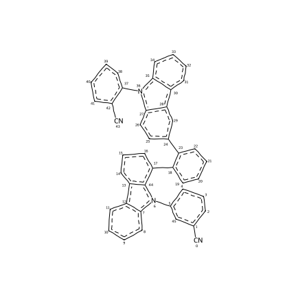 N#Cc1cccc(-n2c3ccccc3c3cccc(-c4ccccc4-c4ccc5c(c4)c4ccccc4n5-c4ccccc4C#N)c32)c1